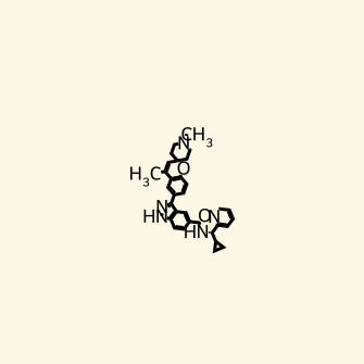 CC1=CC2(CCN(C)CC2)Oc2ccc(-c3n[nH]c4ccc(C(=O)N[C@H](c5ccccn5)C5CC5)cc34)cc21